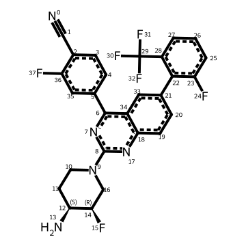 N#Cc1ccc(-c2nc(N3CC[C@H](N)[C@H](F)C3)nc3ccc(-c4c(F)cccc4C(F)(F)F)cc23)cc1F